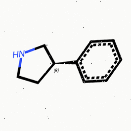 [CH]1NCC[C@@H]1c1ccccc1